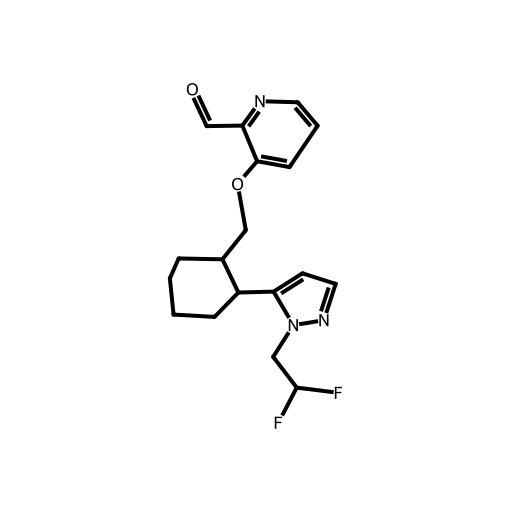 O=Cc1ncccc1OCC1CCCCC1c1ccnn1CC(F)F